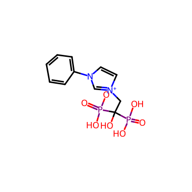 O=P([O-])(O)C(O)(C[n+]1ccn(-c2ccccc2)c1)P(=O)(O)O